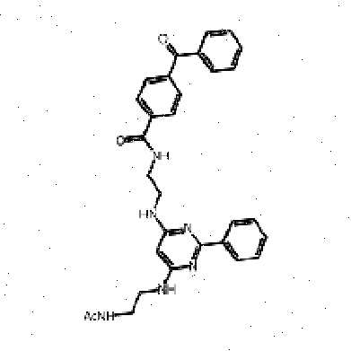 CC(=O)NCCNc1cc(NCCNC(=O)c2ccc(C(=O)c3ccccc3)cc2)nc(-c2ccccc2)n1